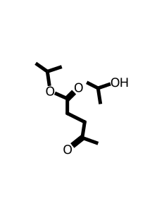 CC(=O)CCC(=O)OC(C)C.CC(C)O